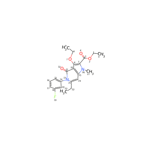 CCOC(=O)c1c(OCC)c2c(=O)n(-c3cccc(F)c3)c(CC)cc2n1C